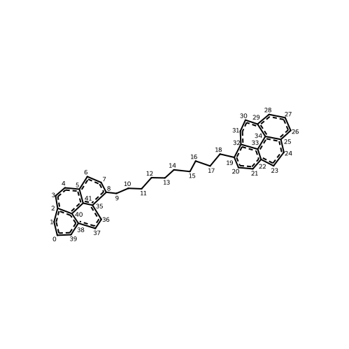 c1cc2ccc3ccc(CCCCCCCCCCc4ccc5ccc6cccc7ccc4c5c67)c4ccc(c1)c2c34